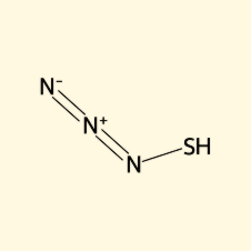 [N-]=[N+]=NS